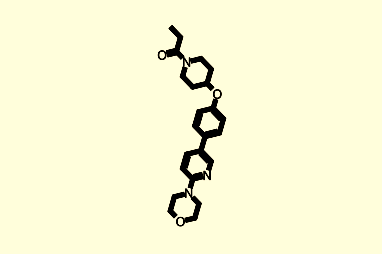 CCC(=O)N1CCC(Oc2ccc(-c3ccc(N4CCOCC4)nc3)cc2)CC1